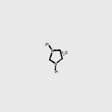 CC(C)N1CCN(C(C)C)C1.O